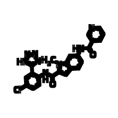 Cn1c(C(=O)Nc2ccc(Cl)cc2-c2nnn[nH]2)cc2ccc(NC(=O)c3cccnc3)cc21